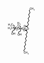 CCCCCCCCCCCC(=O)OC(=O)CCCCCCCCC.CC[N+](C)(C)CCO.CC[N+](C)(C)CCO